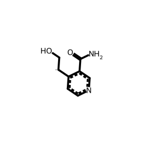 NC(=O)c1cnccc1[CH]CO